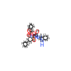 O=C(NC1(S(=O)(=O)N[C@@H](Cc2c[nH]c3ccccc23)C(=O)O)C=CC(c2ccccc2)=CC1)c1cc2ccccc2o1